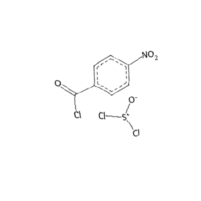 O=C(Cl)c1ccc([N+](=O)[O-])cc1.[O-][S+](Cl)Cl